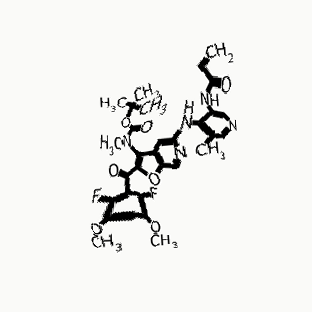 C=CC(=O)Nc1cncc(C)c1Nc1cc2c(N(C)C(=O)OC(C)(C)C)c(C(=O)c3c(F)c(OC)cc(OC)c3F)oc2cn1